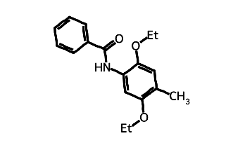 CCOc1cc(NC(=O)c2ccccc2)c(OCC)cc1C